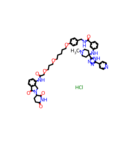 CN1CCC(Nc2cccc(C(=O)NCc3ccc(OCCCCCOCCCOCC(=O)Nc4cccc5c4CN(C4CCC(=O)NC4=O)C5=O)cc3)c2)(c2nnc(-c3ccncc3)[nH]2)CC1.Cl